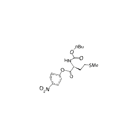 CCCCOC(=O)N[C@@H](CCSC)C(=O)Oc1ccc([N+](=O)[O-])cc1